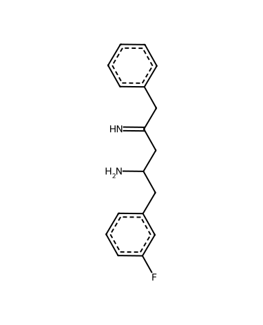 N=C(Cc1ccccc1)CC(N)Cc1cccc(F)c1